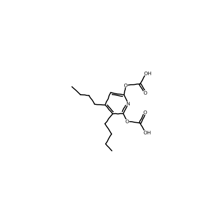 CCCCc1cc(OC(=O)O)nc(OC(=O)O)c1CCCC